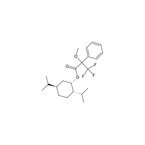 COC(C(=O)O[C@H]1C[C@H](C(C)C)CC[C@H]1C(C)C)(c1ccccc1)C(F)(F)F